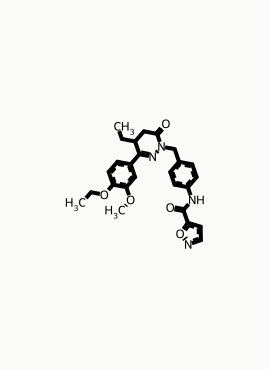 CCOc1ccc(C2=NN(Cc3ccc(NC(=O)c4ccno4)cc3)C(=O)CC2CC)cc1OC